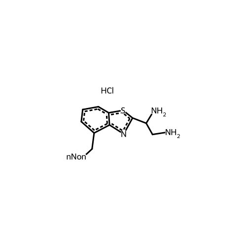 CCCCCCCCCCc1cccc2sc(C(N)CN)nc12.Cl